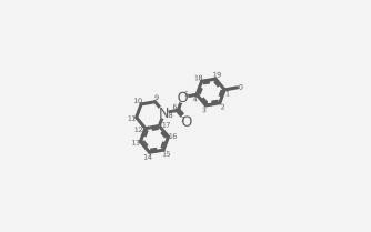 Cc1ccc(OC(=O)N2CCCc3ccccc32)cc1